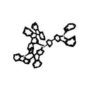 c1ccc(-n2c3ccccc3c3cc(-c4ccc(N(c5ccc6c(c5)C5(c7ccccc7-6)c6ccccc6-n6c7ccccc7c7cccc5c76)c5cc6c(c7ccccc57)-c5ccccc5C65c6ccccc6-c6ccccc65)cc4)ccc32)cc1